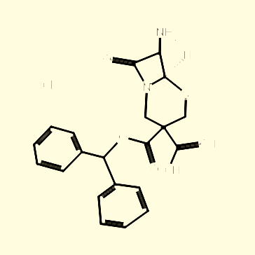 C=C(C)C1(C(=O)OC(c2ccccc2)c2ccccc2)CS[C@@H]2C(N)C(=O)N2C1.Cl